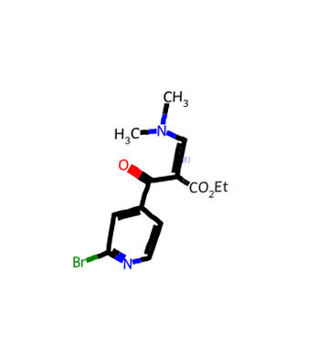 CCOC(=O)/C(=C/N(C)C)C(=O)c1ccnc(Br)c1